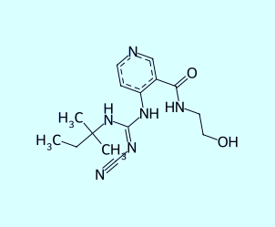 CCC(C)(C)N/C(=N\C#N)Nc1ccncc1C(=O)NCCO